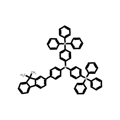 CC1(C)c2ccccc2-c2ccc(-c3ccc(N(c4ccc([Si](c5ccccc5)(c5ccccc5)c5ccccc5)cc4)c4ccc([Si](c5ccccc5)(c5ccccc5)c5ccccc5)cc4)cc3)cc21